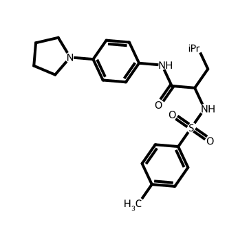 Cc1ccc(S(=O)(=O)NC(CC(C)C)C(=O)Nc2ccc(N3CCCC3)cc2)cc1